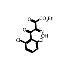 CCOC(=O)C(=O)/C(=N/O)C(=O)c1c(Cl)cccc1Cl